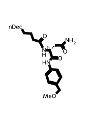 CCCCCCCCCCCCCC(=O)N[C@H](CC(N)=O)C(=O)Nc1ccc(COC)cc1